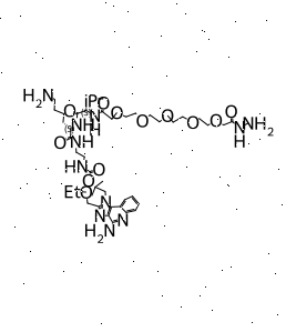 CCOCc1nc2c(N)nc3ccccc3c2n1CC(C)(C)OC(=O)NCCNC(=O)[C@H](CCCCN)NC(=O)[C@@H](NC(=O)COCCOCCOCCOCCOCC(=O)NN)C(C)C